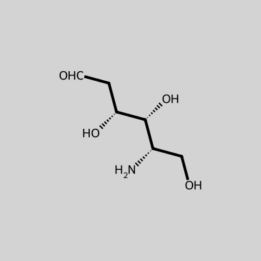 N[C@@H](CO)[C@@H](O)[C@H](O)CC=O